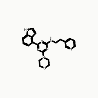 c1cncc(CCNc2nc(-c3cccc4[nH]ccc34)nc(N3CCOCC3)n2)c1